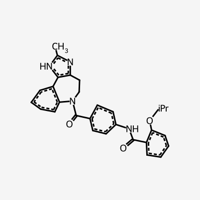 Cc1nc2c([nH]1)-c1ccccc1N(C(=O)c1ccc(NC(=O)c3ccccc3OC(C)C)cc1)CC2